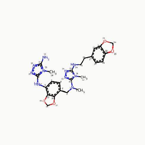 CN(Cc1ccc(Nc2nnc(N)n2C)c2c1OCO2)c1nnc(NCCc2ccc3c(c2)OCO3)n1C